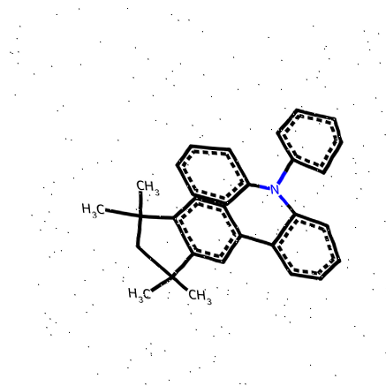 CC1(C)CC(C)(C)c2cc(-c3ccccc3N(c3ccccc3)c3ccccc3)ccc21